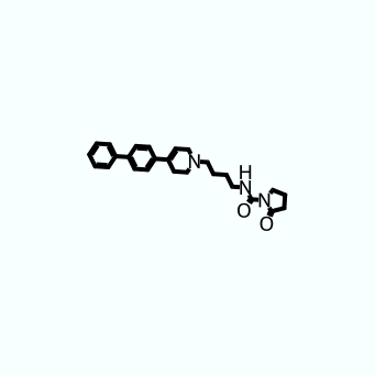 O=C1CCCN1C(=O)NCCCCN1CC=C(c2ccc(-c3ccccc3)cc2)CC1